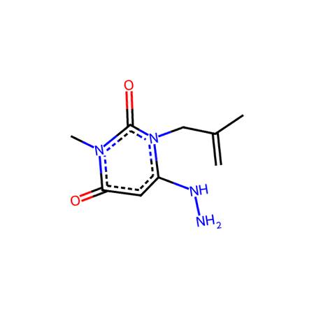 C=C(C)Cn1c(NN)cc(=O)n(C)c1=O